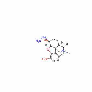 CN1CC[C@]23c4c5ccc(O)c4O[C@H]2C(=O)CC[C@H]3[C@H]1C5.NN